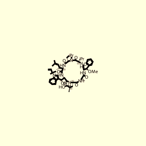 C=CC(C)(C)n1cc([C@@H](O)[C@@H]2NC(=O)[C@H]([C@H](C)C=C(C)C)NC(=O)[C@H](CC(C)C)N(C)C(=O)[C@H](C(C)C)NC(=O)[C@H]([C@H](OC)c3ccccc3)NC(=O)[C@H](C)NC(=O)[C@H](C[C@@H](C)CO)NC2=O)c2ccccc21